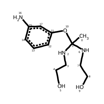 CC(NCCO)(NCCO)Oc1cccc(N)c1